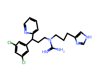 N=C(N)N(CCCc1c[nH]cn1)CCC(c1cc(Cl)cc(Cl)c1)c1ccccn1